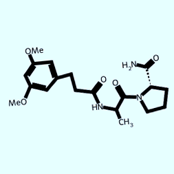 COc1cc(CCC(=O)NC(C)C(=O)N2CCC[C@H]2C(N)=O)cc(OC)c1